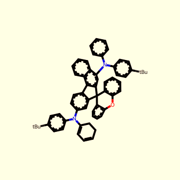 CC(C)(C)c1ccc(N(C2=CC=CCC2)c2ccc3c(c2)C2(c4ccccc4Oc4ccccc42)c2cc(N(c4ccccc4)c4ccc(C(C)(C)C)cc4)c4ccccc4c2-3)cc1